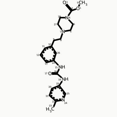 COC(=O)N1CCN(CCc2cccc(NC(=O)Nc3ccc(C)nc3)c2)CC1